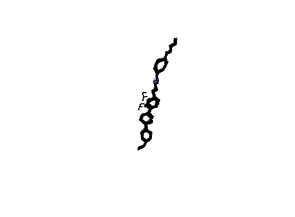 C=CC1CCC(C2CC=C(c3ccc(CC/C=C/C4CCC(CCCCC)CC4)c(F)c3F)CC2)CC1